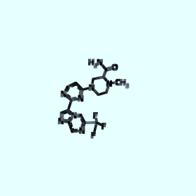 CN1CCN(c2ccnc(-c3cnc4cnc(C(F)(F)F)cn34)n2)CC1C(N)=O